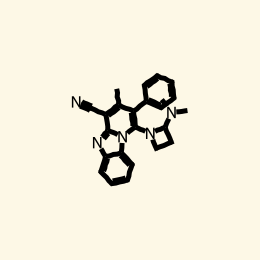 Cc1c(-c2ccccc2)c(N2CCC2N(C)C)n2c(nc3ccccc32)c1C#N